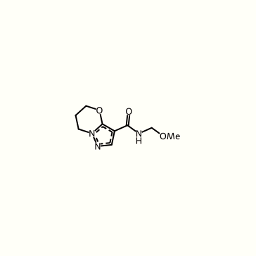 COCNC(=O)c1cnn2c1OCCC2